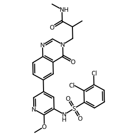 CNC(=O)C(C)Cn1cnc2ccc(-c3cnc(OC)c(NS(=O)(=O)c4cccc(Cl)c4Cl)c3)cc2c1=O